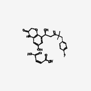 CC(C)(Cc1ccc(F)cc1)NC[C@H](O)c1cc(O)cc2c1OCC(=O)N2.O=C(O)/C=C\C(=O)O